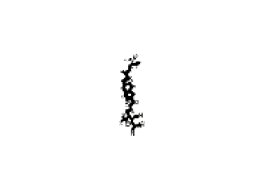 C=C/C(=C\C=C(/C)c1cc2cc3cc4sc(/C=C/C5=C(C#N)C(C(C#N)C#N)OC5(C)C)cc4cc3cc2s1)N(C)C